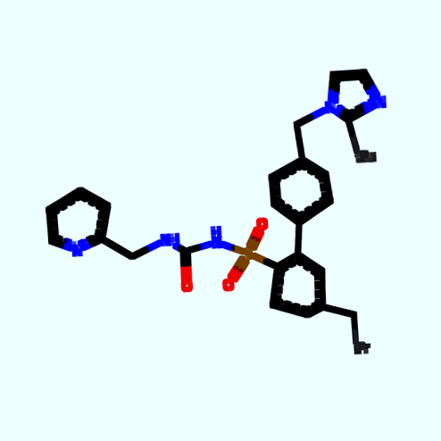 CC(C)Cc1ccc(S(=O)(=O)NC(=O)NCc2ccccn2)c(-c2ccc(Cn3ccnc3C(C)(C)C)cc2)c1